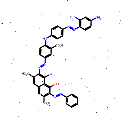 Nc1ccc(N=Nc2ccc(Nc3ccc(N=Nc4c(S(=O)(=O)O)cc5cc(S(=O)(=O)O)c(N=Nc6ccccc6)c(O)c5c4N)cc3S(=O)(=O)O)cc2)c(N)c1